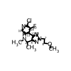 CNC(C)c1nn(CCOC)nc1-c1ccnc(Cl)c1F